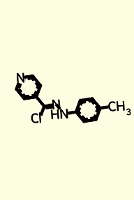 Cc1ccc(NN=C(Cl)c2ccncc2)cc1